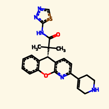 CC(C)(C(=O)Nc1nncs1)[C@H]1c2ccccc2Oc2nc(C3=CCNCC3)ccc21